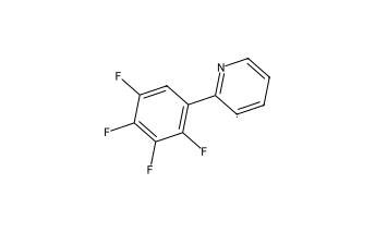 Fc1cc(-c2[c]cccn2)c(F)c(F)c1F